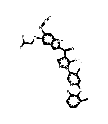 Cc1cc(Oc2c(F)cccc2F)ncc1-n1ncc(C(=O)c2cc3cc(OCC(F)F)c(N=C=O)cc3[nH]2)c1N